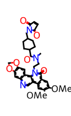 COc1cc2c(=O)n(CCN(C)C(=O)C3CCC(CN4C(=O)C=CC4=O)CC3)c3c4cc5c(cc4ncc3c2cc1OC)OCO5